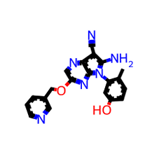 Cc1ccc(O)cc1-n1c(N)c(C#N)c2ncc(OCc3cccnc3)nc21